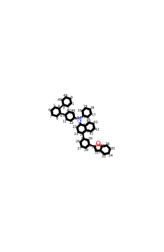 c1ccc(-c2ccccc2-c2ccc(N(c3ccccc3)c3ccc(-c4cccc(-c5cc6ccccc6o5)c4)c4ccccc34)cc2)cc1